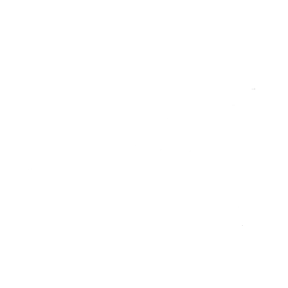 C=C(C)C(=O)OCCOc1cc(-c2ccccc2)c(CCOC(=O)C(=C)C)c(OCCOC(=O)C(=C)C)c1CCCO